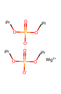 CC(C)OP(=O)([O-])OC(C)C.CC(C)OP(=O)([O-])OC(C)C.[Mg+2]